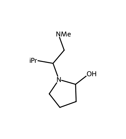 CNCC(C(C)C)N1CCCC1O